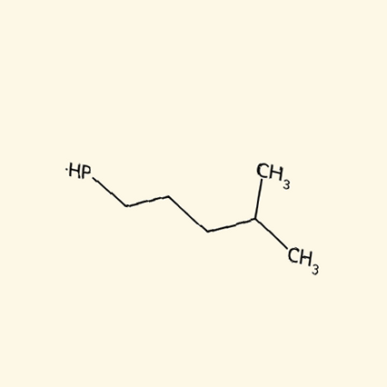 CC(C)CCC[PH]